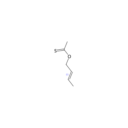 C/C=C/COC(C)=S